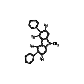 [2H]c1cc2c(c([2H])c1-c1ccccc1)c1c([2H])c(-c3ccccc3)c([2H])cc1n2C